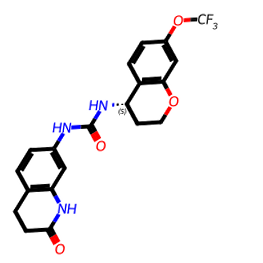 O=C1CCc2ccc(NC(=O)N[C@H]3CCOc4cc(OC(F)(F)F)ccc43)cc2N1